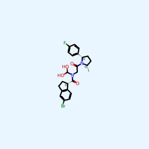 C[C@H]1CC[C@@H](c2ccc(F)cc2)N1C(=O)CN(C(=O)[C@H]1CCc2cc(Br)ccc21)C(O)O